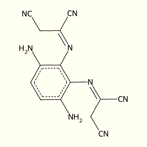 N#CC/C(C#N)=N\c1c(N)ccc(N)c1/N=C(/C#N)CC#N